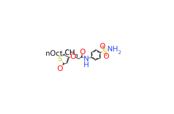 CCCCCCCCC1(C)SC(=O)C=C1OCC(=O)Nc1ccc(S(N)(=O)=O)cc1